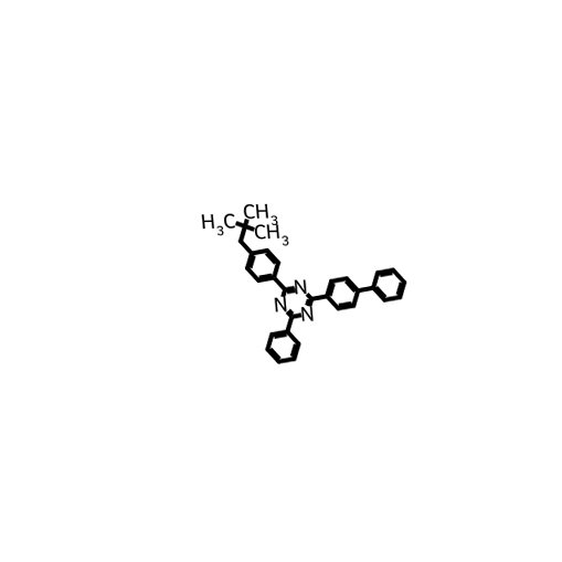 CC(C)(C)Cc1ccc(-c2nc(-c3ccccc3)nc(-c3ccc(-c4ccccc4)cc3)n2)cc1